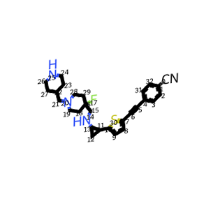 N#Cc1ccc(C#Cc2ccc(C3CC3NCC3(F)CCN(CC4CCNCC4)CC3)s2)cc1